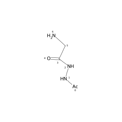 CC(=O)NNC(=O)CN